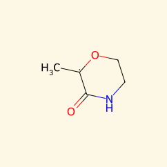 C[C]1OCCNC1=O